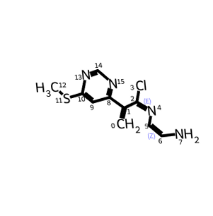 C=C(/C(Cl)=N\C=C/N)c1cc(SC)ncn1